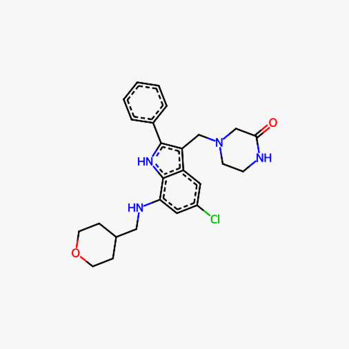 O=C1CN(Cc2c(-c3ccccc3)[nH]c3c(NCC4CCOCC4)cc(Cl)cc23)CCN1